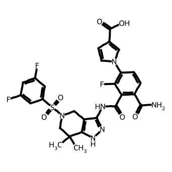 CC1(C)CN(S(=O)(=O)c2cc(F)cc(F)c2)Cc2c(NC(=O)c3c(C(N)=O)ccc(-n4ccc(C(=O)O)c4)c3F)n[nH]c21